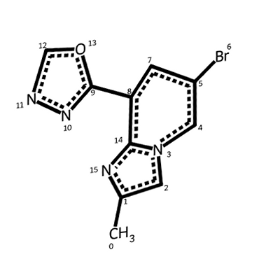 Cc1cn2cc(Br)cc(-c3nnco3)c2n1